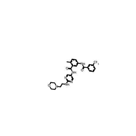 Cc1ccc(NC(=O)c2cccc(C(F)(F)F)c2)cc1C(=O)Nc1cnc(NCCN2CCOCC2)nc1